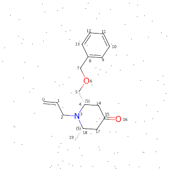 C=CCN1[C@H](COCc2ccccc2)CC(=O)C[C@@H]1C